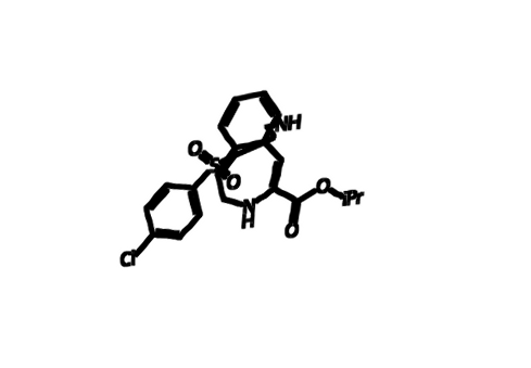 CC(C)OC(=O)C1=CC23C(=CCN1)C=CC=C2NCC3S(=O)(=O)c1ccc(Cl)cc1